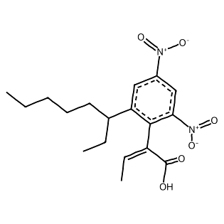 CC=C(C(=O)O)c1c(C(CC)CCCCC)cc([N+](=O)[O-])cc1[N+](=O)[O-]